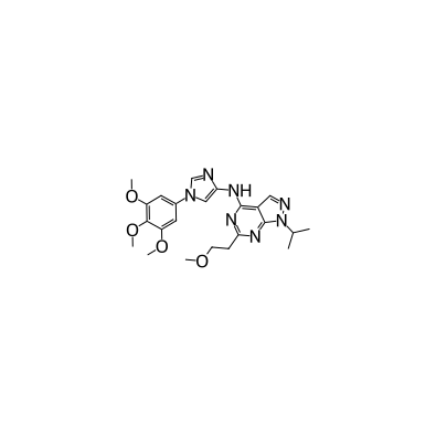 COCCc1nc(Nc2cn(-c3cc(OC)c(OC)c(OC)c3)cn2)c2cnn(C(C)C)c2n1